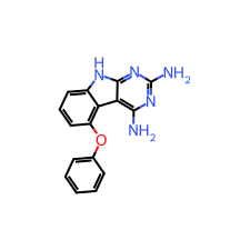 Nc1nc(N)c2c(n1)[nH]c1cccc(Oc3ccccc3)c12